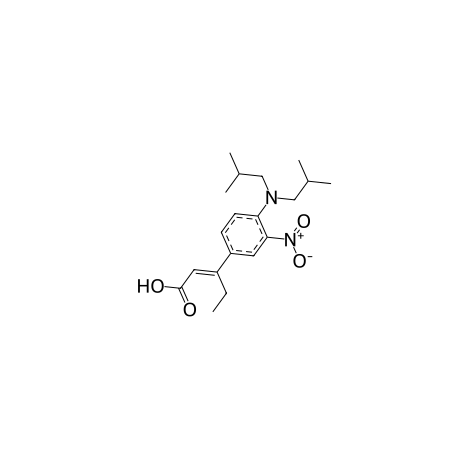 CC/C(=C\C(=O)O)c1ccc(N(CC(C)C)CC(C)C)c([N+](=O)[O-])c1